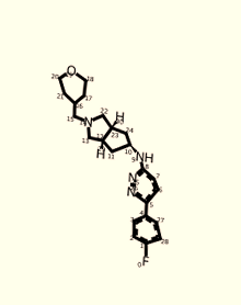 Fc1ccc(-c2ccc(N[C@H]3C[C@@H]4CN(CC5CCOCC5)C[C@@H]4C3)nn2)cc1